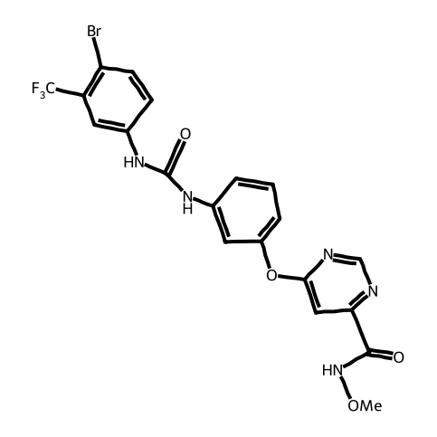 CONC(=O)c1cc(Oc2cccc(NC(=O)Nc3ccc(Br)c(C(F)(F)F)c3)c2)ncn1